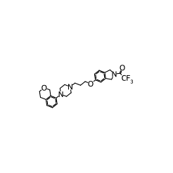 O=C(N1Cc2ccc(OCCCN3CCN(c4cccc5c4COCC5)CC3)cc2C1)C(F)(F)F